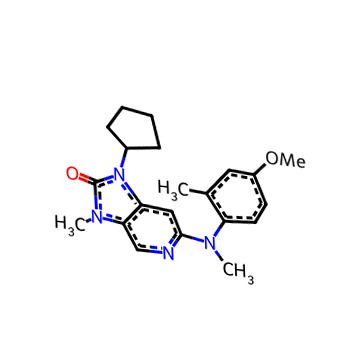 COc1ccc(N(C)c2cc3c(cn2)n(C)c(=O)n3C2CCCC2)c(C)c1